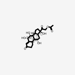 CC(=O)OCC(=O)[C@@]1(O)CC[C@H]2[C@@H]3[C@@H](O)[C@@H](O)C4=CC(=O)CC[C@]4(C)[C@H]3[C@@H](O)C[C@@]21C